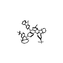 Cc1cc2c3c(c1)N1c4c(cc(C(C)(C)C)cc4C4(C)CCCCC14C)B3c1ccc(N3c4ccc(C(C)(C)C)cc4C4(C)CCCCC34C)cc1N2c1ccc2c(c1)sc1ccccc12